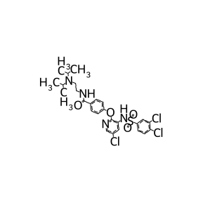 CC(C)N(CCNC(=O)c1ccc(Oc2ncc(Cl)cc2NS(=O)(=O)c2ccc(Cl)c(Cl)c2)cc1)C(C)C